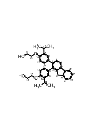 CC(C)c1cc(-c2ccc3c(c2-c2ccc(OCCO)c(C(C)C)c2)Cc2ccccc2-3)ccc1OCCO